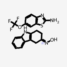 Nc1nc2ccc(OC(F)(F)F)cc2s1.O/N=C1\CCc2[nH]c3ccccc3c2C1